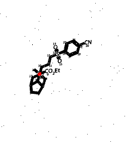 CCOC(=O)N(C)C1C2CCC1CN(CCCS(=O)(=O)c1ccc(C#N)cc1)C2